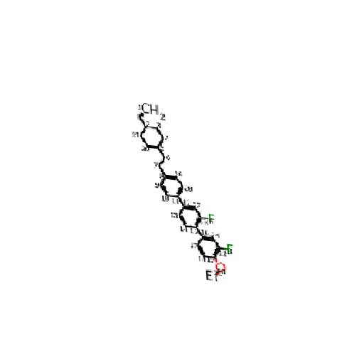 C=CC1CCC(CCc2ccc(-c3ccc(-c4ccc(OCC)c(F)c4)c(F)c3)cc2)CC1